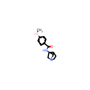 CBc1ccc(C(=O)NC2CN3CCC2CC3)cc1